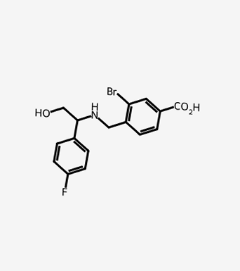 O=C(O)c1ccc(CNC(CO)c2ccc(F)cc2)c(Br)c1